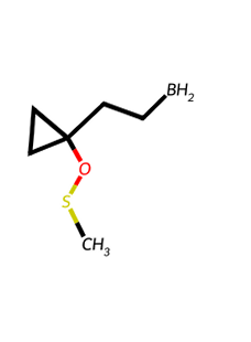 BCCC1(OSC)CC1